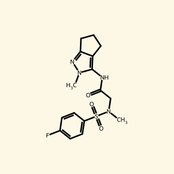 CN(CC(=O)Nc1c2c(nn1C)CCC2)S(=O)(=O)c1ccc(F)cc1